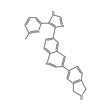 Cc1cccc(-c2[nH]cnc2-c2ccc3ncc(-c4ccc5c(c4)CNC5)cc3c2)n1